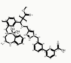 COC(=O)C(C)(C)C(OCc1cn(Cc2cccc(-c3cccc(C(=O)O)n3)c2)nn1)c1ccc(C)c(CN2C[C@@H](C)Oc3ccccc3S2(O)O)c1